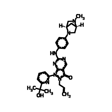 C=CCn1c(=O)c2cnc(Nc3ccc(N4C[C@H]5C[C@@H]4CN5C)cc3)nc2n1-c1cccc(C(C)(C)O)n1